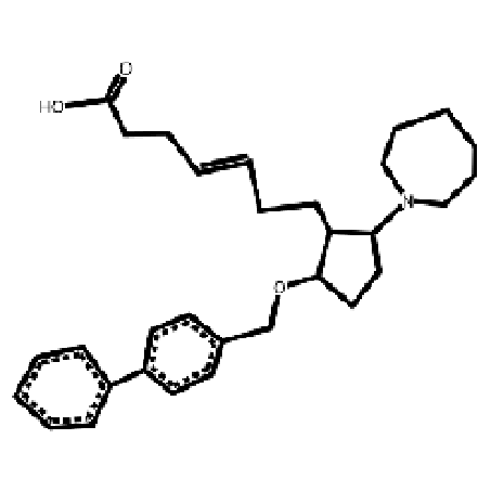 O=C(O)CC/C=C/CCC1C(OCc2ccc(-c3ccccc3)cc2)CCC1N1CCCCCC1